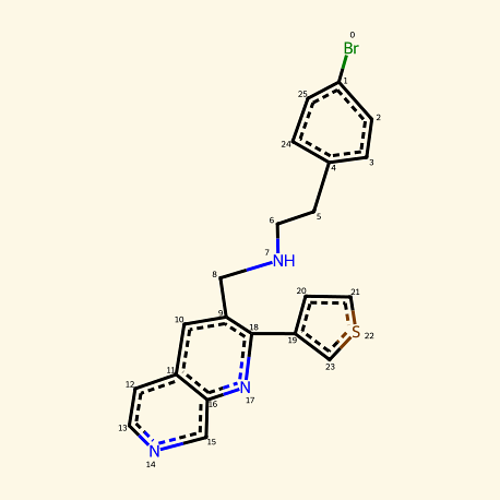 Brc1ccc(CCNCc2cc3ccncc3nc2-c2ccsc2)cc1